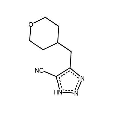 N#Cc1[nH]nnc1CC1CCOCC1